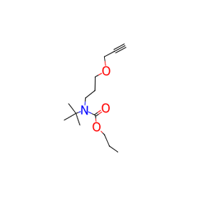 C#CCOCCCN(C(=O)OCCC)C(C)(C)C